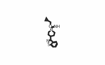 N=C(OCC1CC1)N1CCC(c2nsc3ccccc23)CC1